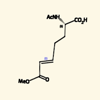 COC(=O)/C=C/CC[C@H](NC(C)=O)C(=O)O